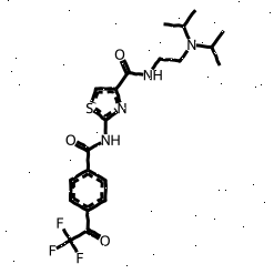 CC(C)N(CCNC(=O)c1csc(NC(=O)c2ccc(C(=O)C(F)(F)F)cc2)n1)C(C)C